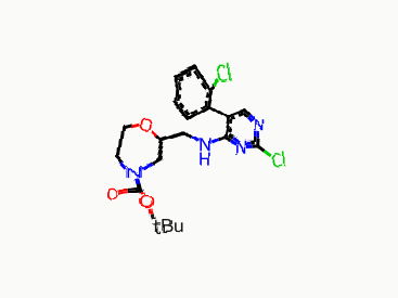 CC(C)(C)OC(=O)N1CCOC(CNc2nc(Cl)ncc2-c2ccccc2Cl)C1